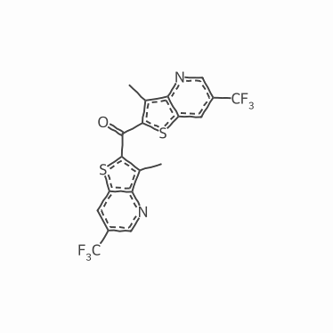 Cc1c(C(=O)c2sc3cc(C(F)(F)F)cnc3c2C)sc2cc(C(F)(F)F)cnc12